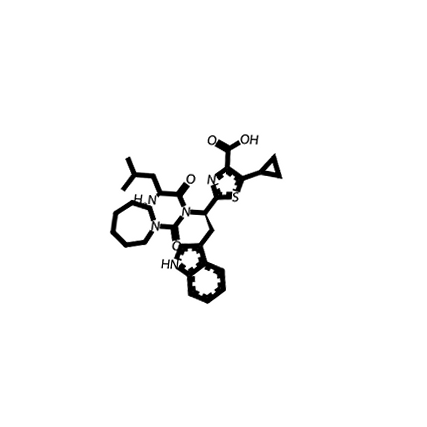 CC(C)C[C@H](N)C(=O)N(C(=O)N1CCCCCC1)[C@H](Cc1c[nH]c2ccccc12)c1nc(C(=O)O)c(C2CC2)s1